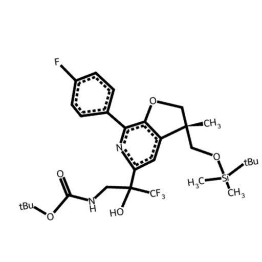 CC(C)(C)OC(=O)NCC(O)(c1cc2c(c(-c3ccc(F)cc3)n1)OC[C@]2(C)CO[Si](C)(C)C(C)(C)C)C(F)(F)F